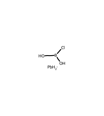 OB(O)Cl.[PbH2]